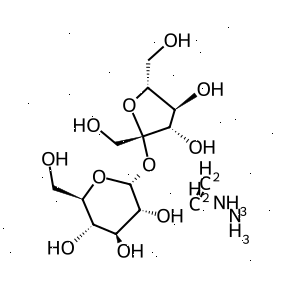 C=C.N.N.OC[C@H]1O[C@@](CO)(O[C@H]2O[C@H](CO)[C@@H](O)[C@H](O)[C@H]2O)[C@@H](O)[C@@H]1O